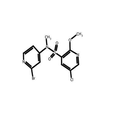 COc1ncc(Cl)cc1S(=O)(=O)N(C)c1ccnc(Br)c1